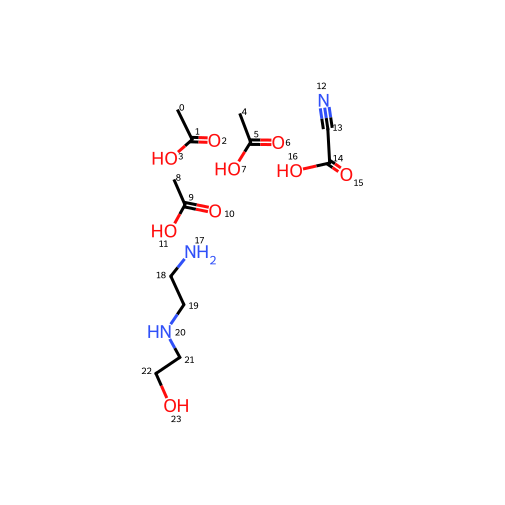 CC(=O)O.CC(=O)O.CC(=O)O.N#CC(=O)O.NCCNCCO